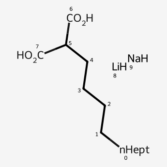 CCCCCCCCCCCC(C(=O)O)C(=O)O.[LiH].[NaH]